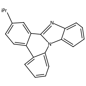 CC(C)c1ccc2c3ccccc3n3c4ccccc4nc3c2c1